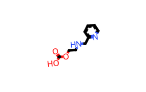 O=C(O)OCCNCc1ccccn1